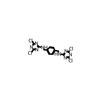 Clc1nc(Cl)nc(NCc2ccc(CNc3nc(Cl)nc(Cl)n3)cc2)n1